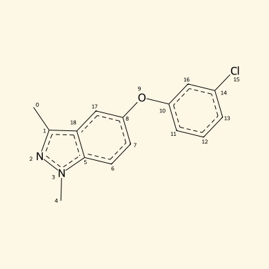 Cc1nn(C)c2ccc(Oc3cccc(Cl)c3)cc12